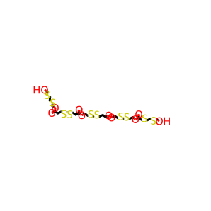 O=C(CCSCSCCC(=O)OCSCCSCO)OCCSCSCCCOOCCSCSCCOC(=O)CSCCSCO